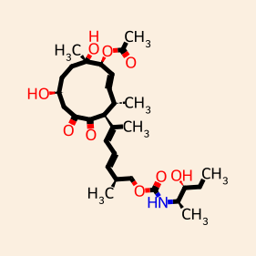 CC[C@@H](O)[C@@H](C)NC(=O)OC[C@@H](C)/C=C/C=C(\C)[C@H]1C(=O)C(=O)C[C@@H](O)CC[C@](C)(O)[C@@H](OC(C)=O)/C=C/[C@@H]1C